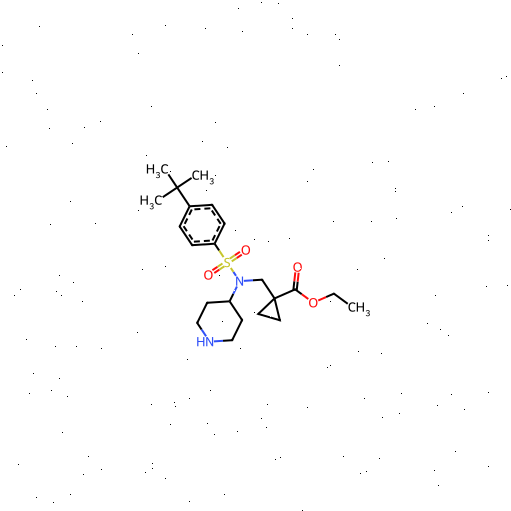 CCOC(=O)C1(CN(C2CCNCC2)S(=O)(=O)c2ccc(C(C)(C)C)cc2)CC1